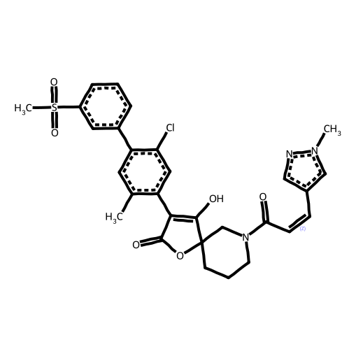 Cc1cc(-c2cccc(S(C)(=O)=O)c2)c(Cl)cc1C1=C(O)C2(CCCN(C(=O)/C=C\c3cnn(C)c3)C2)OC1=O